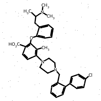 Cc1c(N2CCN(Cc3ccccc3-c3ccc(Cl)cc3)CC2)ccc(C(=O)O)c1Oc1ccccc1CC(C)N(C)C